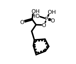 O=C(O)C(Cc1ccccc1)OP(=O)(O)O